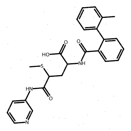 CSC(CC(NC(=O)c1ccccc1-c1ccccc1C)C(=O)O)C(=O)Nc1cccnc1